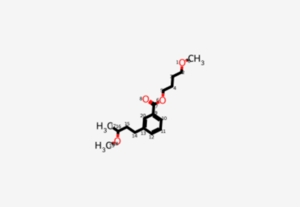 COCCCCOC(=O)c1cccc(CCC(C)OC)c1